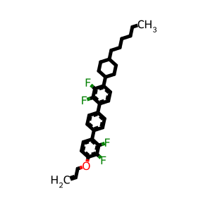 C=CCOc1ccc(-c2ccc(-c3ccc(C4CCC(CCCCCC)CC4)c(F)c3F)cc2)c(F)c1F